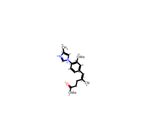 COC(=O)CC/C(C#N)=C\c1ccc(-n2cnc(C)c2)c(OC)c1